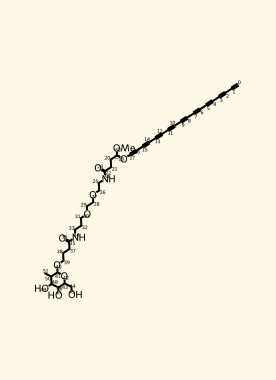 C#CC#CC#CC#CC#CC#CC#CC#CC#COC(CCC(=O)NCCOCCOCCCNC(=O)CCCOC1OC(CO)C(O)C(O)C1C)OC